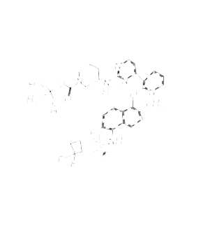 Cc1ccc2c(NS(=O)(=O)C[C@H]3CCC3(F)F)c(F)ccc2c1Oc1ncccc1-c1ccnc(N[C@H]2CCCN(C(=O)OC(C)(C)C)C2)n1